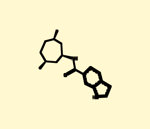 C[C@@H]1CC[C@H](C)C[C@H](NC(=O)c2ccc3cc[nH]c3c2)C1